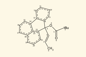 C/C=C/C1(OC(=O)C(C)(C)C)c2ccccc2-c2cccc3cccc1c23